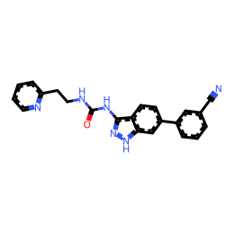 N#Cc1cccc(-c2ccc3c(NC(=O)NCCc4ccccn4)n[nH]c3c2)c1